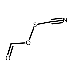 N#CSOC=O